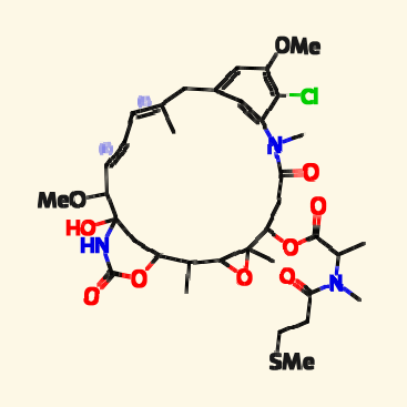 COc1cc2cc(c1Cl)N(C)C(=O)CC(OC(=O)C(C)N(C)C(=O)CCSC)C1(C)OC1C(C)C1CC(O)(NC(=O)O1)C(OC)/C=C/C=C(\C)C2